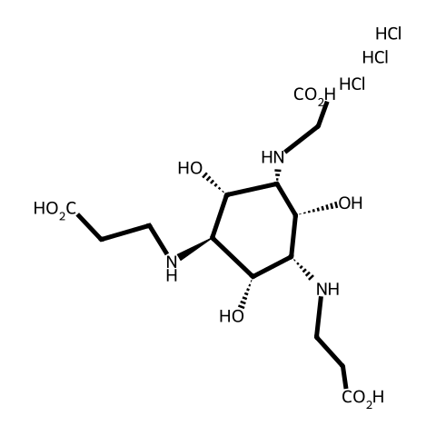 Cl.Cl.Cl.O=C(O)CCN[C@@H]1[C@H](O)[C@@H](NCCC(=O)O)[C@H](O)[C@H](NCC(=O)O)[C@@H]1O